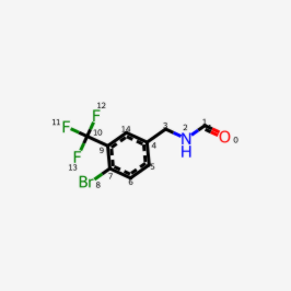 O=[C]NCc1ccc(Br)c(C(F)(F)F)c1